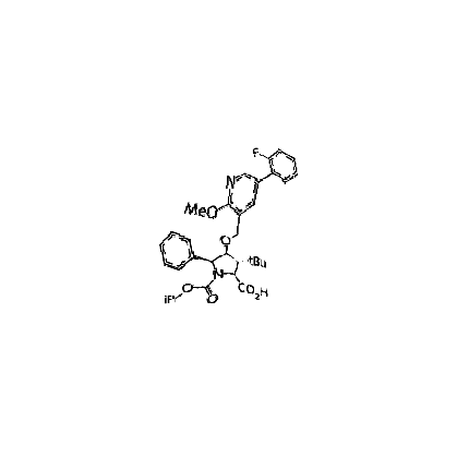 COc1ncc(-c2ccccc2F)cc1CO[C@H]1[C@H](C(C)(C)C)[C@@H](C(=O)O)N(C(=O)OC(C)C)[C@H]1c1ccccc1